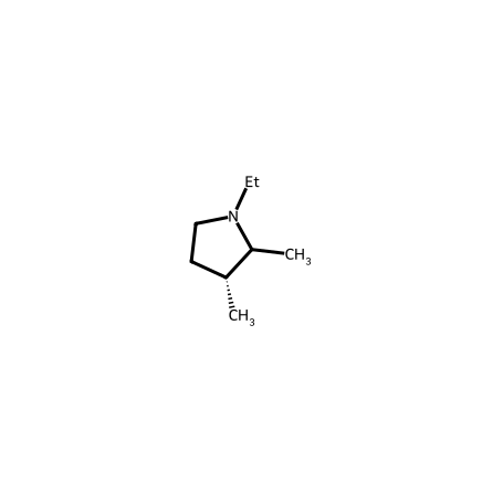 CCN1CC[C@@H](C)C1C